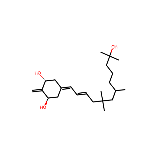 C=C1[C@H](O)CC(=CC=CCC(C)(C)CC(C)CCCC(C)(C)O)C[C@H]1O